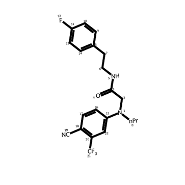 CCCN(CC(=O)NCCc1ccc(F)cc1)c1ccc(C#N)c(C(F)(F)F)c1